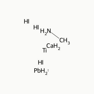 CN.I.I.I.[CaH2].[PbH2].[Ti]